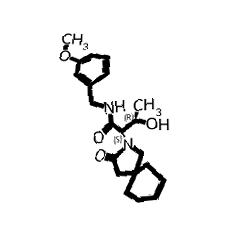 COc1cccc(CNC(=O)[C@H]([C@@H](C)O)N2CC3(CCCCC3)CC2=O)c1